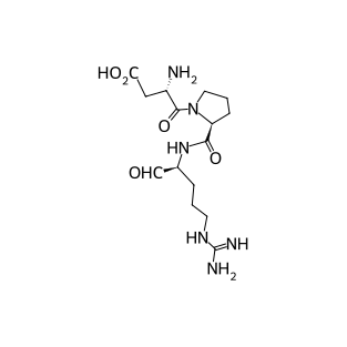 N=C(N)NCCC[C@@H](C=O)NC(=O)[C@@H]1CCCN1C(=O)[C@@H](N)CC(=O)O